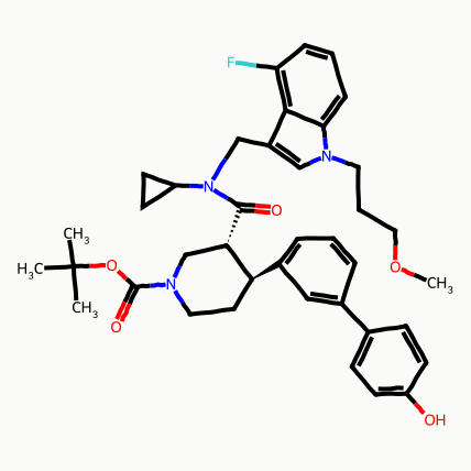 COCCCn1cc(CN(C(=O)[C@H]2CN(C(=O)OC(C)(C)C)CC[C@@H]2c2cccc(-c3ccc(O)cc3)c2)C2CC2)c2c(F)cccc21